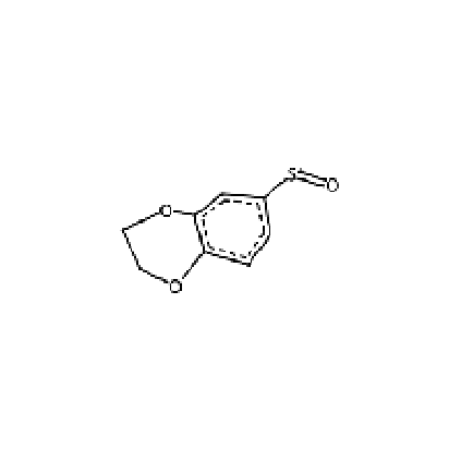 O=[S+]c1ccc2c(c1)OCCO2